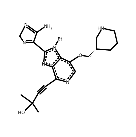 CCn1c(C2=NCN=C2N)nc2c(C#CC(C)(C)O)ncc(OC[C@H]3CCCNC3)c21